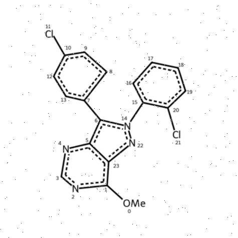 COc1ncnc2c(-c3ccc(Cl)cc3)n(-c3ccccc3Cl)nc12